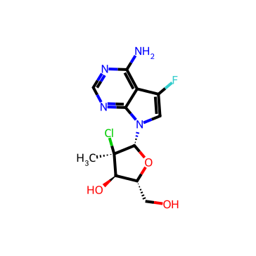 C[C@@]1(Cl)[C@H](O)[C@@H](CO)O[C@H]1n1cc(F)c2c(N)ncnc21